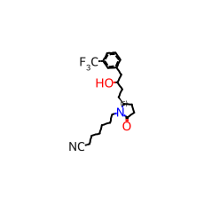 N#CCCCCCCN1C(=O)CC[C@@H]1CCC(O)Cc1cccc(C(F)(F)F)c1